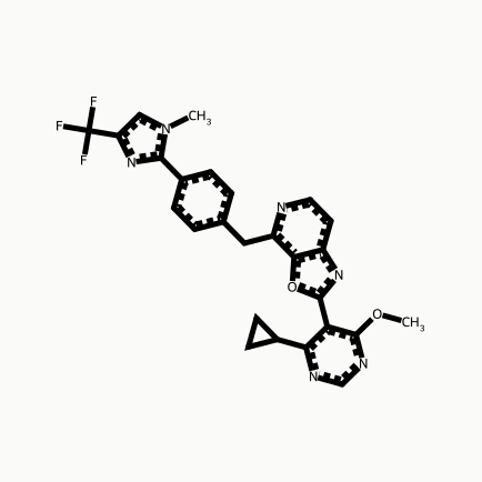 COc1ncnc(C2CC2)c1-c1nc2ccnc(Cc3ccc(-c4nc(C(F)(F)F)cn4C)cc3)c2o1